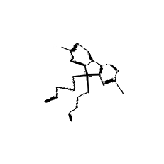 C=CCCCC1(CCCC=C)c2cc(C)ccc2-c2ccc(Br)cc21